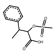 CC(c1ccccc1)C(OS(C)(=O)=O)C(=O)O